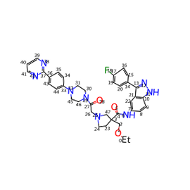 CCOCC1(C(=O)Nc2ccc3[nH]nc(-c4ccc(F)cc4)c3c2)CCN(CC(=O)N2CCN(c3ccc(-c4ncccn4)cc3)CC2)C1